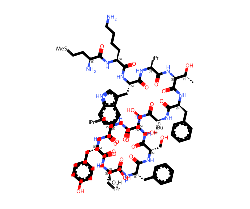 CC[C@H](C)[C@H](NC(=O)[C@H](Cc1ccccc1)NC(=O)[C@@H](NC(=O)[C@@H](NC(=O)[C@H](Cc1c[nH]c2ccccc12)NC(=O)[C@H](CCCCN)NC(=O)[C@@H](N)CCSC)C(C)C)[C@@H](C)O)C(=O)N[C@@H](CO)C(=O)N[C@@H](CC(C)C)C(=O)N[C@@H](Cc1ccccc1)C(=O)N[C@@H](CC(C)C)C(=O)N[C@@H](Cc1ccccc1)C(=O)N[C@@H](CO)C(=O)N[C@@H](CO)C(=O)N[C@@H](C)C(=O)N[C@@H](Cc1ccc(O)cc1)C(=O)N[C@@H](CO)C(=O)O